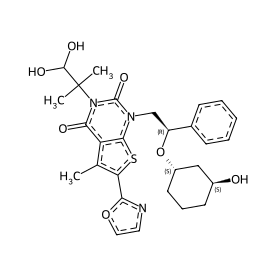 Cc1c(-c2ncco2)sc2c1c(=O)n(C(C)(C)C(O)O)c(=O)n2C[C@H](O[C@H]1CCC[C@H](O)C1)c1ccccc1